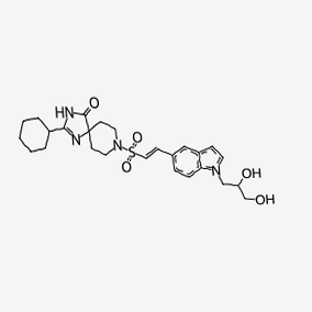 O=C1NC(C2CCCCC2)=NC12CCN(S(=O)(=O)C=Cc1ccc3c(ccn3CC(O)CO)c1)CC2